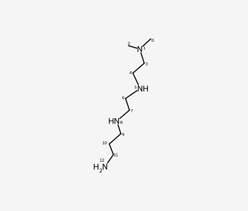 CN(C)CCNCCNCCCN